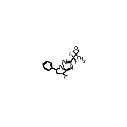 CC1(C(F)(F)c2nc3n(n2)C(c2ccccc2)CC3F)COC1